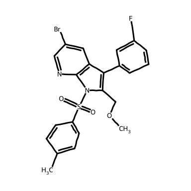 COCc1c(-c2cccc(F)c2)c2cc(Br)cnc2n1S(=O)(=O)c1ccc(C)cc1